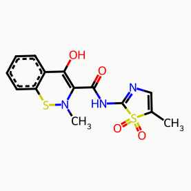 CC1=CN=C(NC(=O)C2=C(O)c3ccccc3SN2C)S1(=O)=O